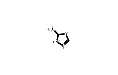 [CH2]C1NN=CO1